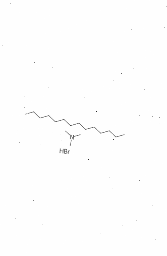 Br.CCCCCCCCCCCCCC.CN(C)C